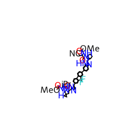 COC(=O)NC(CC#N)C(=O)N1C2CCC(C2)C1c1nc2ccc(-c3ccc4c(c3)C(F)(F)c3cc(-c5cnc(C6CC7(CC7)CN6C(=O)C(NC(=O)OC)C(C)C)[nH]5)ccc3-4)cc2[nH]1